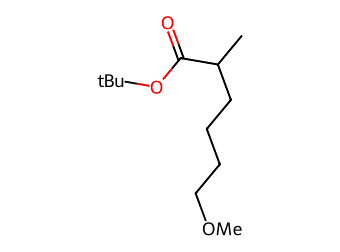 COCCCCC(C)C(=O)OC(C)(C)C